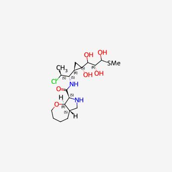 CSC(O)[C@H](O)C(O)[C@]1(O)C[C@@H]1[C@H](NC(=O)[C@H]1NC[C@@H]2CCCCO[C@H]21)[C@H](C)Cl